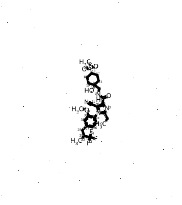 CCc1nc(C(=O)NC[C@]2(O)CC[C@@H](S(C)(=O)=O)CC2)c(C#N)n1-c1ccc(CC(C)C(F)(F)F)cc1OC